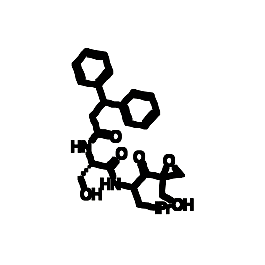 CC(C)CC(NC(=O)[C@H](CO)NC(=O)CC(c1ccccc1)c1ccccc1)C(=O)C1(CO)CO1